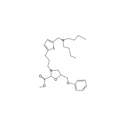 CCCCN(CCCC)Cc1ccc(CCCN2CC(COc3ccccc3)OC2C(=O)OC)s1